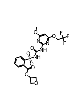 COc1cc(OCC(F)(F)F)nc(NC(=O)NS(=O)(=O)c2ccccc2C(=O)OC2COC2)n1